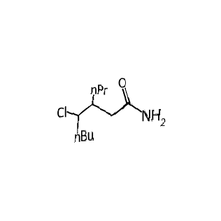 CCCCC(Cl)C(CCC)CC(N)=O